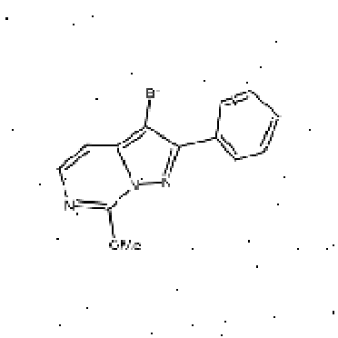 COc1nccc2c(Br)c(-c3ccccc3)nn12